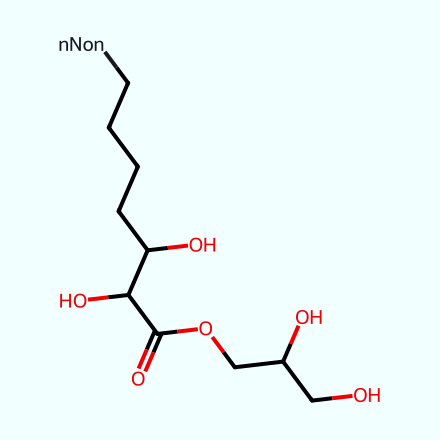 CCCCCCCCCCCCCC(O)C(O)C(=O)OCC(O)CO